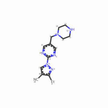 CCc1nn(-c2ncc(CN3CCNCC3)cn2)cc1C#N